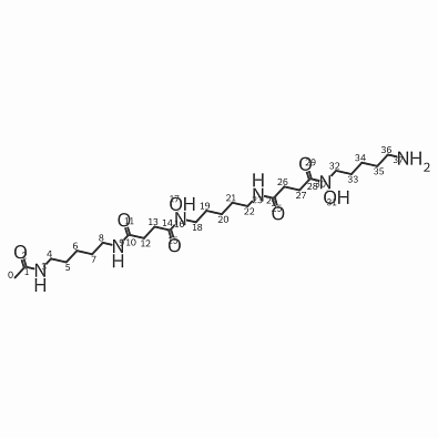 CC(=O)NCCCCCNC(=O)CCC(=O)N(O)CCCCCNC(=O)CCC(=O)N(O)CCCCCN